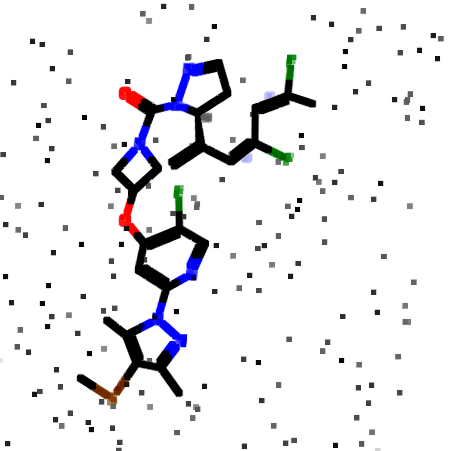 C=C(/C=C(F)\C=C(/C)F)[C@@H]1CC=NN1C(=O)N1CC(Oc2cc(-n3nc(C)c(SC)c3C)ncc2F)C1